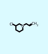 C=CCN1CCCC(Cl)C1